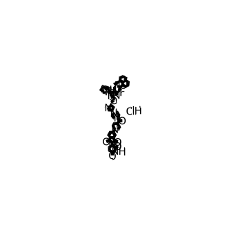 C#Cc1cccc2cccc(-c3ncc4c(N5CC6CCC(C5)N6)nc(OC[C@@H]5C[C@H](N6CCN(C(=O)C7CCN(c8ccc9c(c8)C(=O)N(C8CCC(=O)NC8=O)C9=O)CC7)CC6)CN5C)nc4c3F)c12.Cl